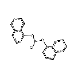 ClP(Oc1cccc2ccccc12)Oc1cccc2ccccc12